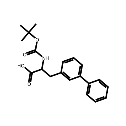 CC(C)(C)OC(=O)NC(Cc1cccc(-c2ccccc2)c1)C(=O)O